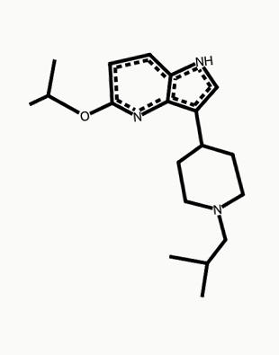 CC(C)CN1CCC(c2c[nH]c3ccc(OC(C)C)nc23)CC1